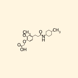 COc1cc(CCC(=O)NC2CCC(C)CC2)ccc1OCC(=O)O